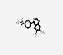 Cc1cc2ncnc(C3CCCN(S(C)(=O)=O)CC3)c2cc1C